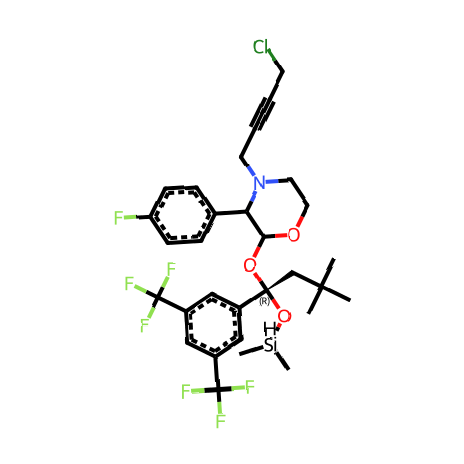 C[SiH](C)O[C@@](CC(C)(C)C)(OC1OCCN(CC#CCCl)C1c1ccc(F)cc1)c1cc(C(F)(F)F)cc(C(F)(F)F)c1